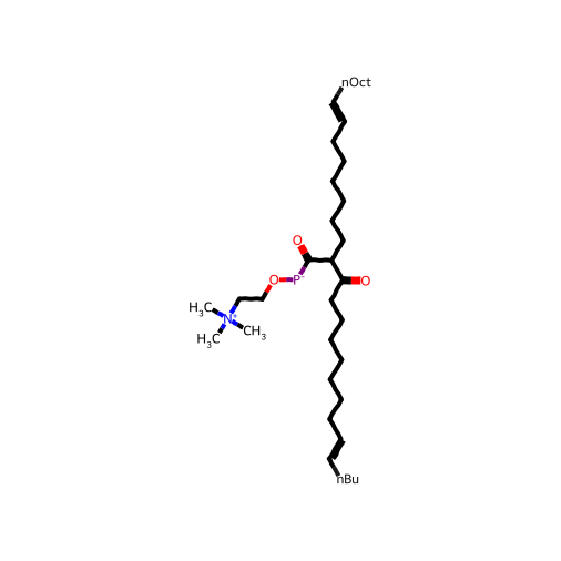 CCCCC=CCCCCCCCC(=O)C(CCCCCCC=CCCCCCCCC)C(=O)[P-]OCC[N+](C)(C)C